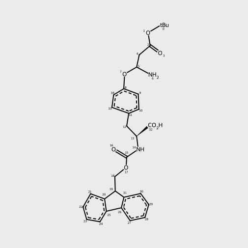 CC(C)(C)OC(=O)CC(N)Oc1ccc(C[C@H](NC(=O)OCC2c3ccccc3-c3ccccc32)C(=O)O)cc1